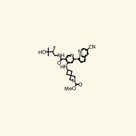 COC(=O)N1CC2(CC(Nc3cc(-c4ccc5cc(C#N)cnn45)ncc3C(=O)NCC(F)C(C)(C)O)C2)C1